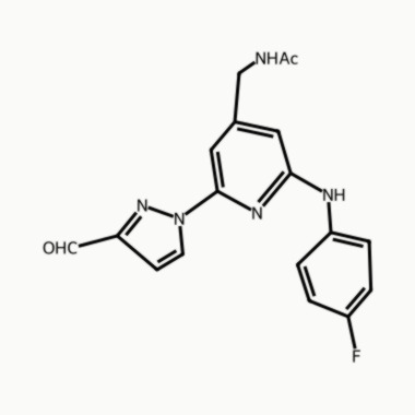 CC(=O)NCc1cc(Nc2ccc(F)cc2)nc(-n2ccc(C=O)n2)c1